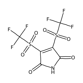 O=C1NC(=O)C(S(=O)(=O)C(F)(F)F)=C1S(=O)(=O)C(F)(F)F